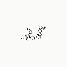 O=C(O)c1ccc(Oc2ncc(CN3CCC(N4C(=O)N(C5CCCCC5)C[C@H]4c4cccc(Cl)c4)CC3)cn2)cc1